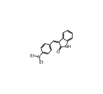 CCN(CC)c1ccc(C=C2C(=O)Nc3ccccc32)cc1